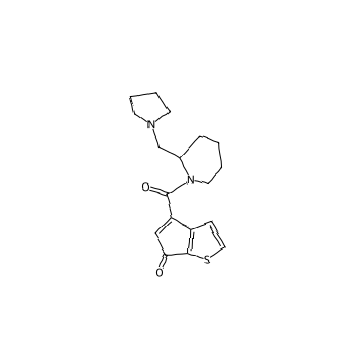 O=C1C=C(C(=O)N2CCCCC2CN2CCCC2)c2ccsc21